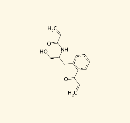 C=CC(=O)N[C@H](CO)Cc1ccccc1C(=O)C=C